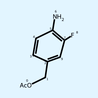 CC(=O)OCc1[c]cc(N)c(F)c1